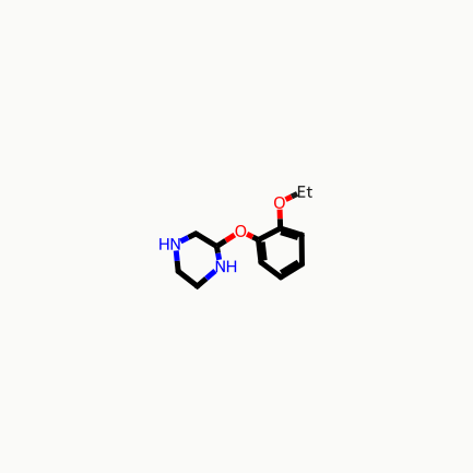 CCOc1ccccc1OC1CNCCN1